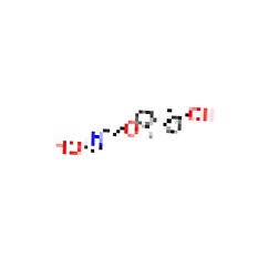 Cc1c(CO)cccc1-c1cccc(OCCCN2CCC(O)C2)c1C